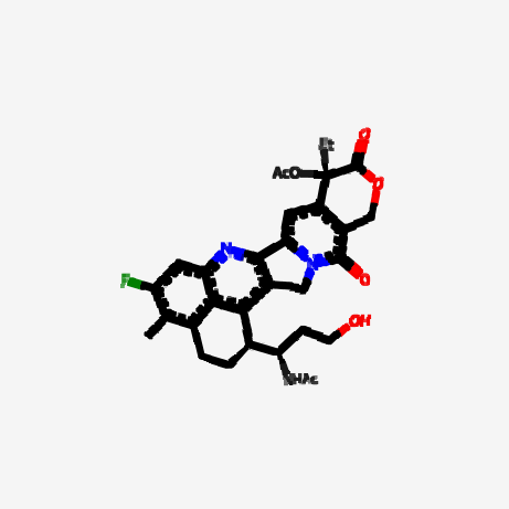 CC[C@@]1(OC(C)=O)C(=O)OCc2c1cc1n(c2=O)Cc2c-1nc1cc(F)c(C)c3c1c2[C@@H]([C@@H](CCO)NC(C)=O)CC3